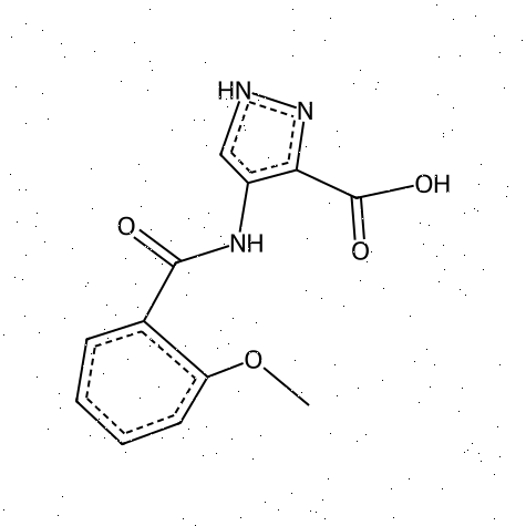 COc1ccccc1C(=O)Nc1c[nH]nc1C(=O)O